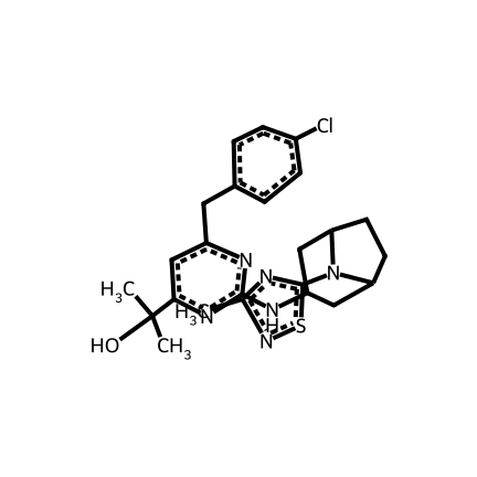 Cc1nsc(N2C3CCC2CC(Nc2nc(Cc4ccc(Cl)cc4)cc(C(C)(C)O)n2)C3)n1